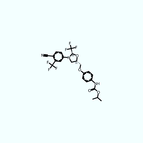 CC(C)OC(=O)Nc1ccc(OC[C@@H]2CN(c3ccc(C#N)c(C(F)(F)F)c3)[C@@H](C(F)(F)F)O2)cc1